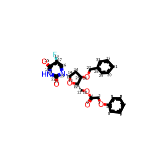 O=C(COc1ccccc1)OC[C@@H]1O[C@H](n2cc(F)c(=O)[nH]c2=O)CC1OCc1ccccc1